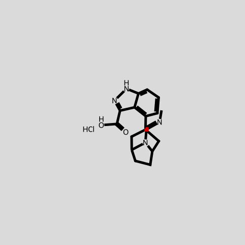 CN=CN1C2CCC1CC(c1cccc3[nH]nc(C(=O)O)c13)C2.Cl